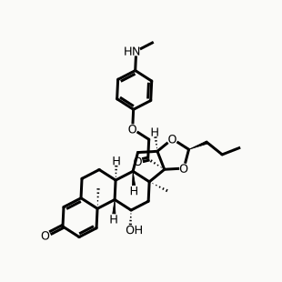 CCC[C@@H]1O[C@@H]2C[C@H]3[C@@H]4CCC5=CC(=O)C=C[C@]5(C)[C@H]4[C@@H](O)C[C@]3(C)[C@]2(C(=O)COc2ccc(NC)cc2)O1